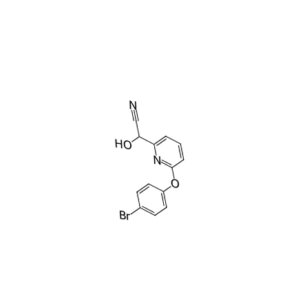 N#CC(O)c1cccc(Oc2ccc(Br)cc2)n1